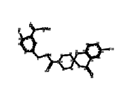 CNC(=O)c1cc(CNC(=O)N2CCC3(CC2)CC(=O)c2cc(F)ccc2O3)ccc1F